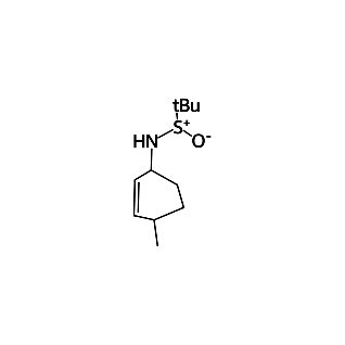 CC1C=CC(N[S+]([O-])C(C)(C)C)CC1